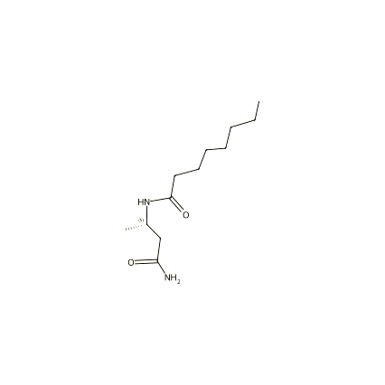 CCCCCCCC(=O)N[C@@H](C)CC(N)=O